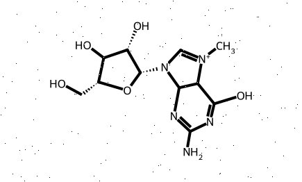 C[N+]1=CN([C@@H]2O[C@H](CO)C(O)[C@@H]2O)C2N=C(N)N=C(O)C21